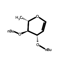 CCCCO[C@H]1[C@H](C)OC=C[C@@H]1OCCCC